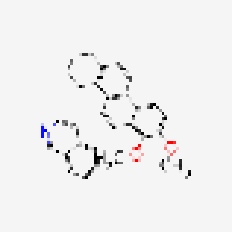 COc1ccc2c(ccc3c4c(ccc32)CCCC4)c1OC.c1ccc2cnccc2c1